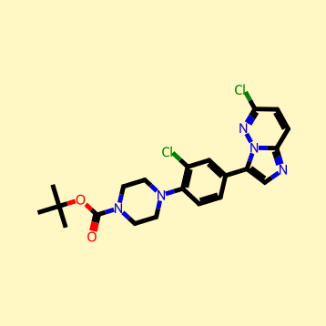 CC(C)(C)OC(=O)N1CCN(c2ccc(-c3cnc4ccc(Cl)nn34)cc2Cl)CC1